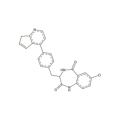 O=C1NC(Cc2ccc(-c3ccnc4c3C=CC4)cc2)C(=O)Nc2ccc(Cl)cc21